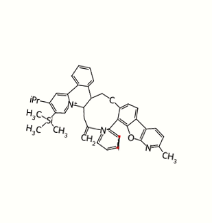 C=C1CC2C(CCc3ccc4c(oc5nc(C)ccc54)c3-c3c4c(cc[n+]31)CCCC4)c1ccccc1-c1cc(C(C)C)c([Si](C)(C)C)c[n+]12